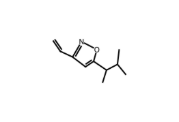 C=Cc1cc(C(C)C(C)C)on1